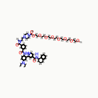 CCN(CC)c1ccc(NC(=O)c2cccc(C(=O)N(C)CCN3CCN(C(=O)OCCOCCOCCOCCOCCOCCOCCOC)CC3)c2)c(-c2cc(C(=O)NC3CCCc4ccccc43)ccn2)c1